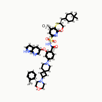 CC(C)c1ccccc1[C@H]1COCCN1C1CC2(CCN(c3ccc(C(=O)NS(=O)(=O)c4cc([N+](=O)[O-])c5c(n4)OC[C@H](CC4CCC(C)(C)CC4)S5)c(Oc4cnc5[nH]ccc5c4)c3)CC2)C1